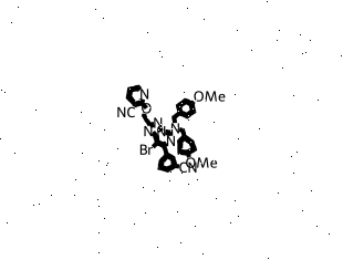 COc1ccc(CN(Cc2ccc(OC)cc2)c2nc(-c3cccc(C#N)c3)c(Br)c3nc(COc4ncccc4C#N)nn23)cc1